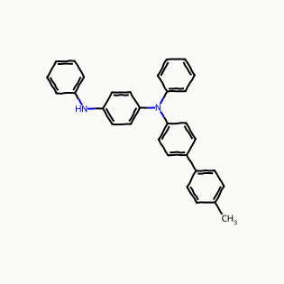 Cc1ccc(-c2ccc(N(c3ccccc3)c3ccc(Nc4ccccc4)cc3)cc2)cc1